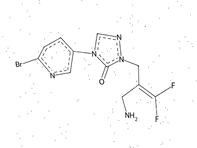 NCC(Cn1ncn(-c2ccc(Br)nc2)c1=O)=C(F)F